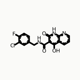 O=C(NCc1ccc(F)c(Cl)c1)c1c(O)c2cccnc2[nH]c1=O